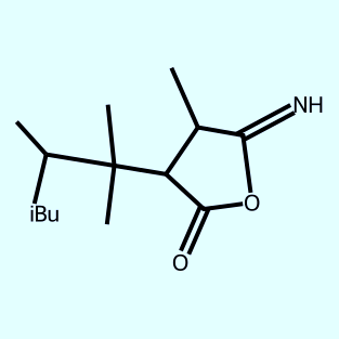 CCC(C)C(C)C(C)(C)C1C(=O)OC(=N)C1C